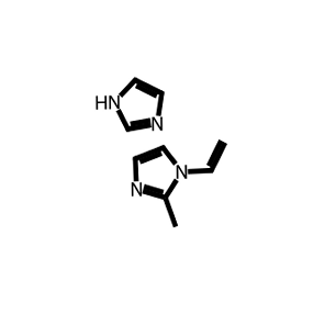 C=Cn1ccnc1C.c1c[nH]cn1